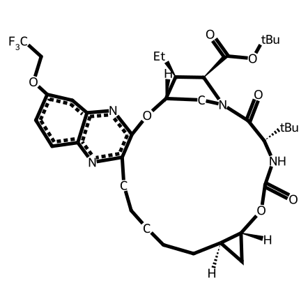 CC[C@@H]1[C@@H]2CN(C(=O)[C@H](C(C)(C)C)NC(=O)O[C@@H]3C[C@H]3CCCCCc3nc4ccc(OCC(F)(F)F)cc4nc3O2)[C@@H]1C(=O)OC(C)(C)C